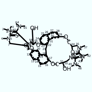 CN(C)C(=S)N(C)CC1COc2ccc3ccc4c(c3c2)Cc2c(ccc3ccc(cc23)OCC(CN(C)C(=S)N(C)C)ON(C(=S)N(C)C)CC(O)CO4)OCC(O)CN(C(=S)N(C)C)O1